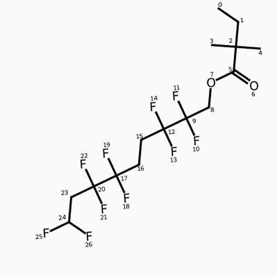 CCC(C)(C)C(=O)OCC(F)(F)C(F)(F)CCC(F)(F)C(F)(F)CC(F)F